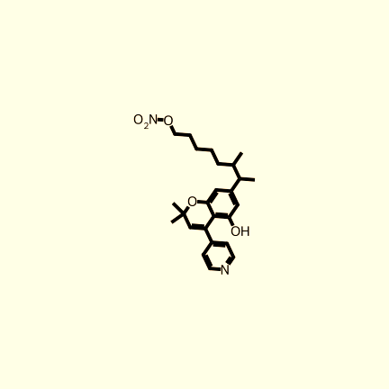 CC(CCCCCO[N+](=O)[O-])C(C)c1cc(O)c2c(c1)OC(C)(C)C=C2c1ccncc1